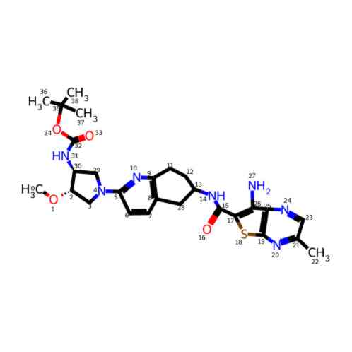 CO[C@H]1CN(c2ccc3c(n2)CCC(NC(=O)c2sc4nc(C)cnc4c2N)C3)C[C@@H]1NC(=O)OC(C)(C)C